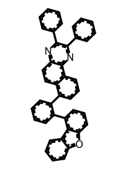 c1ccc(-c2nc3ccc4c(-c5ccccc5-c5cccc6oc7ccccc7c56)cccc4c3nc2-c2ccccc2)cc1